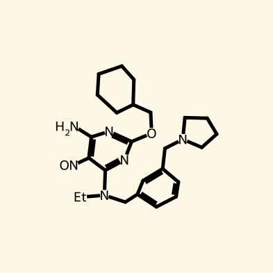 CCN(Cc1cccc(CN2CCCC2)c1)c1nc(OCC2CCCCC2)nc(N)c1N=O